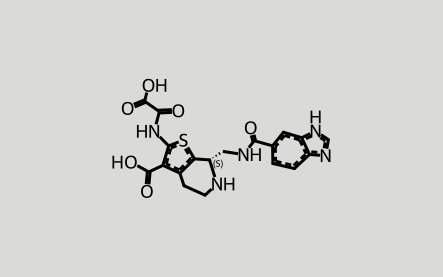 O=C(O)C(=O)Nc1sc2c(c1C(=O)O)CCN[C@H]2CNC(=O)c1ccc2nc[nH]c2c1